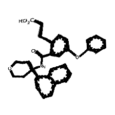 O=C(O)CCc1ccc(Oc2ccccc2)cc1C(=O)NC1(c2cccc3ccccc23)CCOCC1